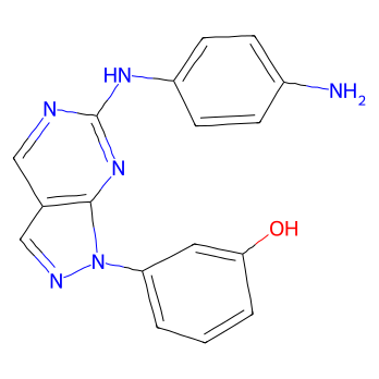 Nc1ccc(Nc2ncc3cnn(-c4cccc(O)c4)c3n2)cc1